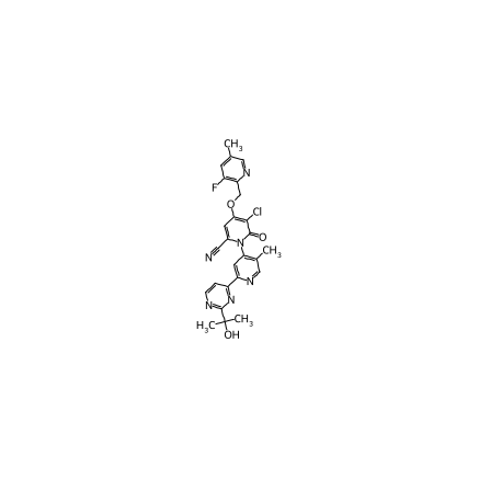 Cc1cnc(COc2cc(C#N)n(-c3cc(-c4ccnc(C(C)(C)O)n4)ncc3C)c(=O)c2Cl)c(F)c1